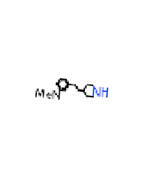 CNc1cccc(CCC2CCNCC2)c1